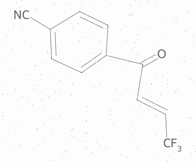 N#Cc1ccc(C(=O)/C=C/C(F)(F)F)cc1